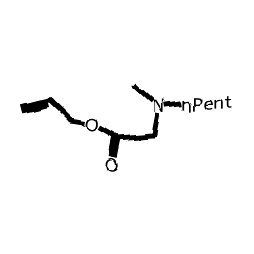 C=CCOC(=O)CN(C)CCCCC